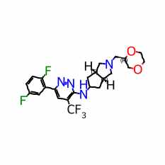 Fc1ccc(F)c(-c2cc(C(F)(F)F)c(NC3C[C@@H]4CN(C[C@@H]5COCCO5)C[C@@H]4C3)nn2)c1